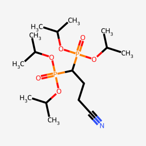 CC(C)OP(=O)(OC(C)C)C(CCC#N)P(=O)(OC(C)C)OC(C)C